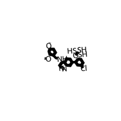 COc1ccc(CNc2cnnc3cc(-c4cc(Cl)ccc4OC(S)(S)S)ccc23)c(OC)c1